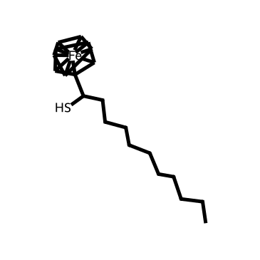 CCCCCCCCCCC(S)[C]12[CH]3[CH]4[CH]5[CH]1[Fe]45321678[CH]2[CH]1[CH]6[CH]7[CH]28